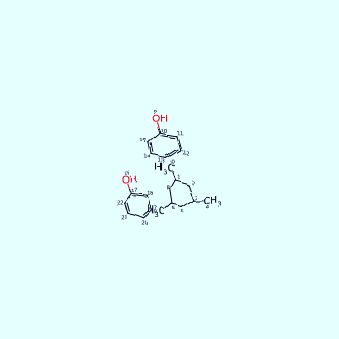 CC1CC(C)CC(C)C1.Oc1ccccc1.Oc1ccccc1